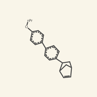 CCCOc1ccc(-c2ccc(C3CC4C=CC3C4)cc2)cc1